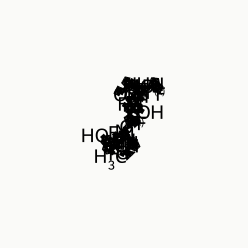 C#Cc1c(F)ccc2cc(O)cc(-c3ncc4c(N5CC6CCC(CC7(OC)CC7)(C5)N6)nc(OC[C@@]56CCC(c7cc(F)c(C#C)c8c(-c9ncc%10c(N%11CC%12CCC(CC%13CCO%13)(C%11)N%12)nc(OC[C@@]%11%12CCCN%11C[C@H](F)C%12)nc%10c9F)cc(O)cc78)N5C[C@H](F)C6)nc4c3F)c12